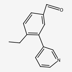 CCc1ccc(C=O)cc1-c1cccnc1